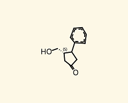 O=C1CC(c2ccccc2)[C@@H](CO)C1